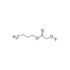 CCCCOC(=O)COF